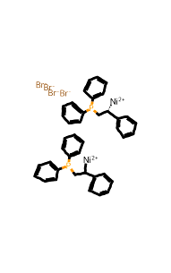 [Br-].[Br-].[Br-].[Br-].[Ni+2][C@@H](CP(c1ccccc1)c1ccccc1)c1ccccc1.[Ni+2][CH](CP(c1ccccc1)c1ccccc1)c1ccccc1